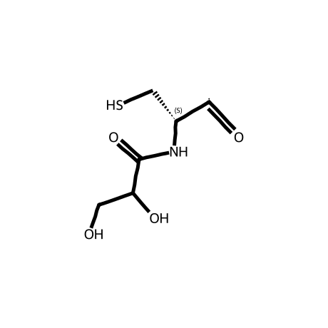 O=[C][C@@H](CS)NC(=O)C(O)CO